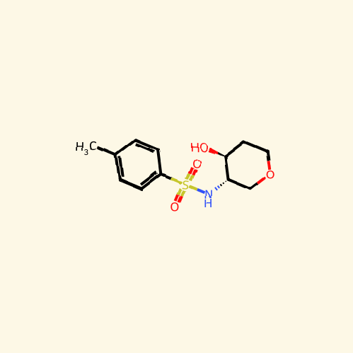 Cc1ccc(S(=O)(=O)N[C@H]2COCC[C@@H]2O)cc1